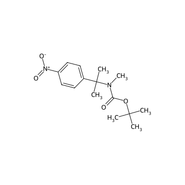 CN(C(=O)OC(C)(C)C)C(C)(C)c1ccc([N+](=O)[O-])cc1